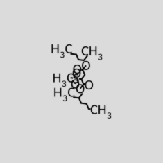 CCCCC(CC)COC(=O)C(CC(=O)OC(CC)CCCC)S(C)(=O)=O